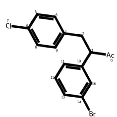 CC(=O)C(Cc1ccc(Cl)cc1)c1cccc(Br)c1